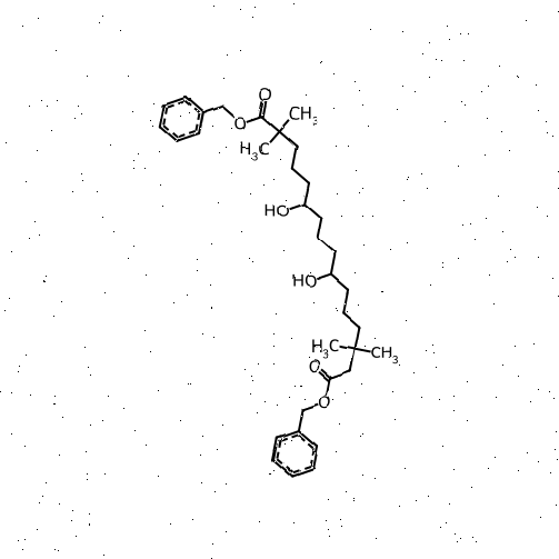 CC(C)(CCCC(O)CCCC(O)CCCC(C)(C)C(=O)OCc1ccccc1)CC(=O)OCc1ccccc1